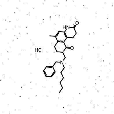 CCCCCCN(Cc1ccccc1)CC1CCc2c(C)cc3c(c2C1=O)CCC(=O)N3.Cl